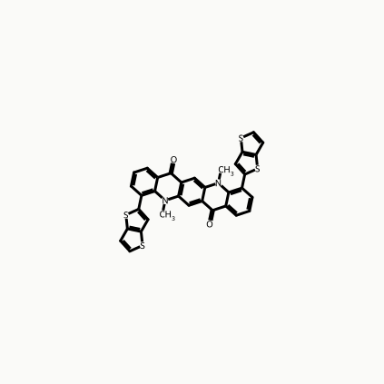 Cn1c2cc3c(=O)c4cccc(-c5cc6sccc6s5)c4n(C)c3cc2c(=O)c2cccc(-c3cc4sccc4s3)c21